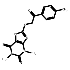 Cc1ccc(C(=O)CSc2nc3c([nH]2)c(=S)n(C)c(=O)n3C)cc1